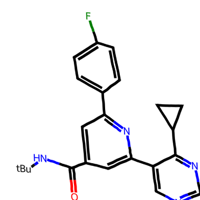 CC(C)(C)NC(=O)c1cc(-c2ccc(F)cc2)nc(-c2cncnc2C2CC2)c1